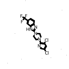 FC(F)(F)c1ccc2nc(N3CCN(c4ncc(Cl)cc4Cl)CC3)[nH]c2c1